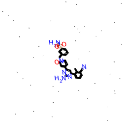 Cc1c(C#N)cccc1-c1cc(-c2ccn(Cc3cccc(S(N)(=O)=O)c3)c(=O)c2)nc(N)n1